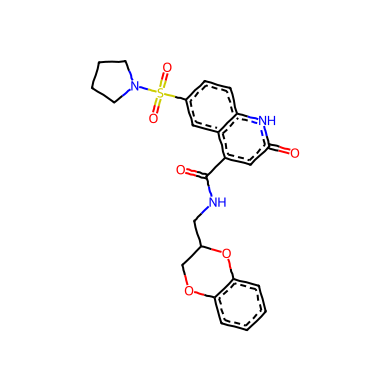 O=C(NCC1COc2ccccc2O1)c1cc(=O)[nH]c2ccc(S(=O)(=O)N3CCCC3)cc12